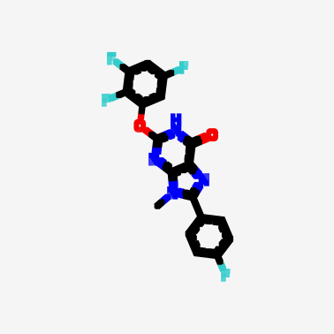 Cn1c(-c2ccc(F)cc2)nc2c(=O)[nH]c(Oc3cc(F)cc(F)c3F)nc21